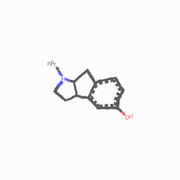 CCCN1CCC2c3cc(O)ccc3CC21